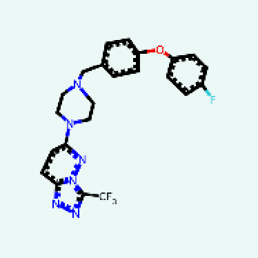 Fc1ccc(Oc2ccc(CN3CCN(c4ccc5nnc(C(F)(F)F)n5n4)CC3)cc2)cc1